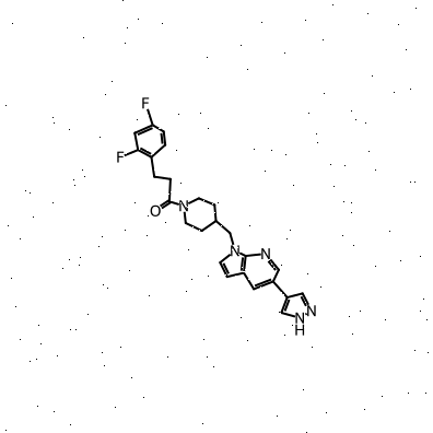 O=C(CCc1ccc(F)cc1F)N1CCC(Cn2ccc3cc(-c4cn[nH]c4)cnc32)CC1